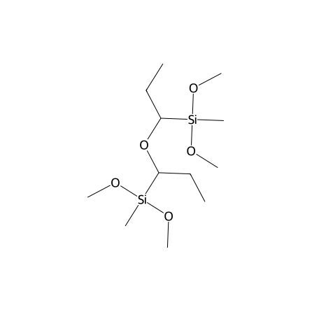 CCC(OC(CC)[Si](C)(OC)OC)[Si](C)(OC)OC